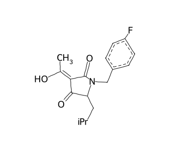 CC(O)=C1C(=O)C(CC(C)C)N(Cc2ccc(F)cc2)C1=O